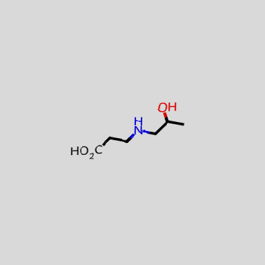 CC(O)CNCCC(=O)O